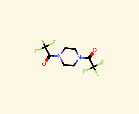 O=C(N1CCN(C(=O)C(F)(F)F)CC1)C(F)(F)F